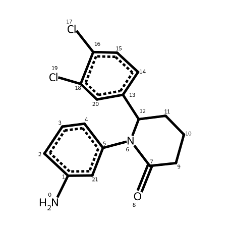 Nc1cccc(N2C(=O)CCCC2c2ccc(Cl)c(Cl)c2)c1